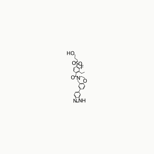 CCc1c(C(=O)N2CCOc3ccc(-c4ccc5nc[nH]c5c4)cc3C2)ccc(S(=O)(=O)CCCO)c1F